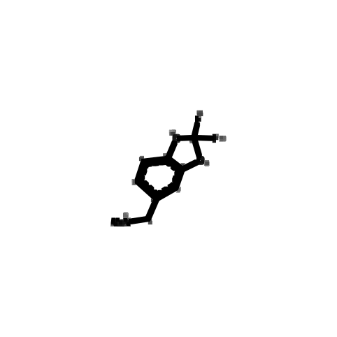 CNCc1ccc2c(c1)OC(F)(F)O2